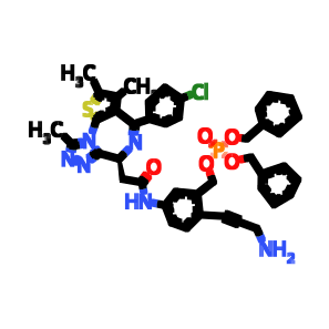 Cc1sc2c(c1C)C(c1ccc(Cl)cc1)=N[C@@H](CC(=O)Nc1ccc(C#CCN)c(COP(=O)(OCc3ccccc3)OCc3ccccc3)c1)c1nnc(C)n1-2